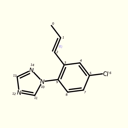 C/C=C/c1cc(Cl)ccc1-n1cncn1